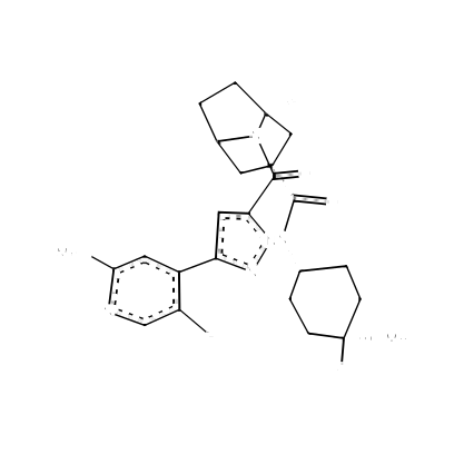 COc1cc(-c2cc(C(=O)N3C4CC[C@H]3C[C@H](C(=O)N[C@H]3CC[C@](OC)(C(F)(F)F)CC3)C4)n[nH]2)c(F)cn1